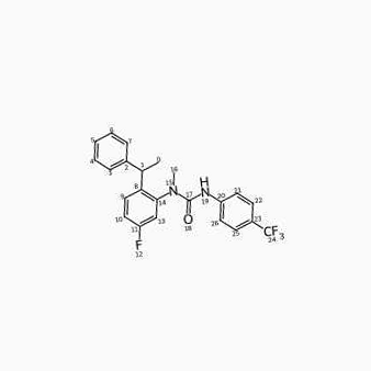 CC(c1ccccc1)c1ccc(F)cc1N(C)C(=O)Nc1ccc(C(F)(F)F)cc1